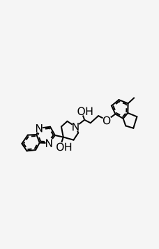 Cc1ccc(OCCC(O)N2CCC(O)(c3cnc4ccccc4n3)CC2)c2c1CCC2